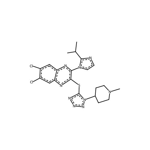 CC(C)c1nccn1-c1nc2cc(Cl)c(Cl)cc2nc1Sc1nnnn1C1CCN(C)CC1